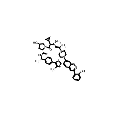 Cc1ncsc1-c1ccc([C@H](C)NC(=O)[C@@H]2C[C@@H](O)CN2C(=O)C(C2CC2)N(N)/C=C(\N)N2CCN(c3ccc4cc(-c5ccccc5O)nnc4c3)CC2)cc1